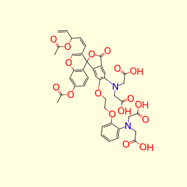 C=CC(/C=C\C1=COc2cc(OC(C)=O)ccc2C12OC(=O)c1cc(N(CC(=O)O)CC(=O)O)c(OCCOc3ccccc3N(CC(=O)O)CC(=O)O)cc12)OC(C)=O